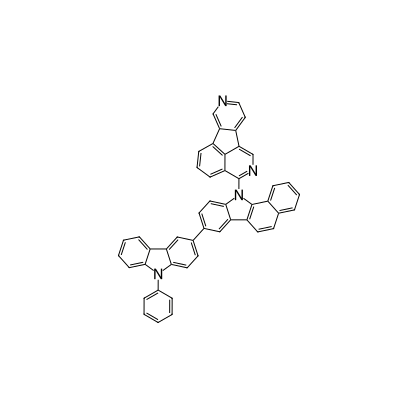 c1ccc(-n2c3ccccc3c3cc(-c4ccc5c(c4)c4ccc6ccccc6c4n5-c4ncc5c6c(cccc46)-c4cnccc4-5)ccc32)cc1